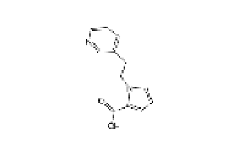 O=C(O)c1cccn1CCc1cccnc1